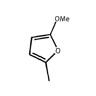 COc1ccc(C)o1